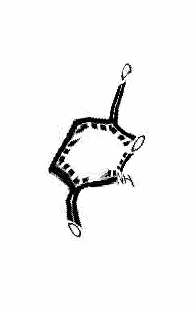 O=c1ccc(=O)o[nH]1